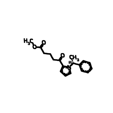 COC(=O)CCCC(=O)c1cccn1[C@H](C)c1ccccc1